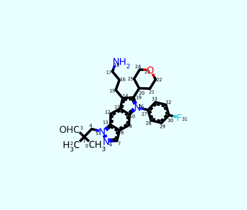 CC(C)(C=O)Cn1ncc2cc3c(cc21)c(CCCN)c(C1CCOCC1)n3-c1ccc(F)cc1